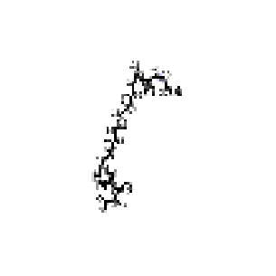 CC(C)C(C)C(=O)c1cn(CCOCCOCCOCCN(C)C(=O)/C=C\C=O)nn1